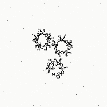 C[SiH2]O[Si](C)(C)O[Si](C)(C)O[Si](C)(C)O[Si](C)(C)C.C[Si]1(C)O[Si](C)(C)O[Si](C)(C)O[Si](C)(C)O[Si](C)(C)O1.C[Si]1(C)O[Si](C)(C)O[Si](C)(C)O[Si](C)(C)O[Si](C)(C)O1